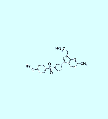 Cc1ccc2c(C3CCN(S(=O)(=O)c4ccc(OC(C)C)cc4)C3)cn(CC(=O)O)c2n1